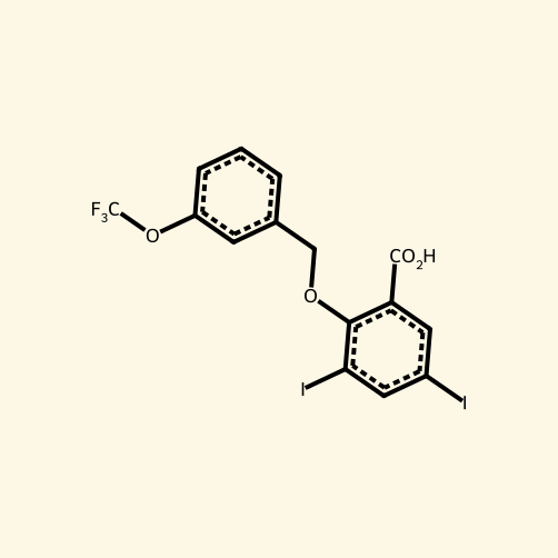 O=C(O)c1cc(I)cc(I)c1OCc1cccc(OC(F)(F)F)c1